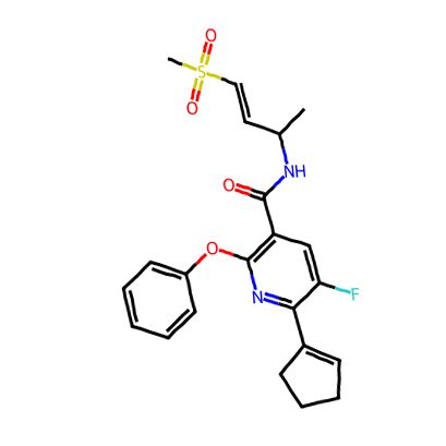 CC(C=CS(C)(=O)=O)NC(=O)c1cc(F)c(C2=CCCC2)nc1Oc1ccccc1